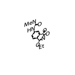 CCOC1=NS(=O)(=O)c2cc(NC(=O)NC)ccc21